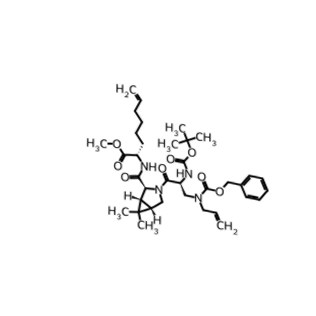 C=CCCCC[C@H](NC(=O)[C@@H]1[C@@H]2[C@H](CN1C(=O)[C@H](CN(CC=C)C(=O)OCc1ccccc1)NC(=O)OC(C)(C)C)C2(C)C)C(=O)OC